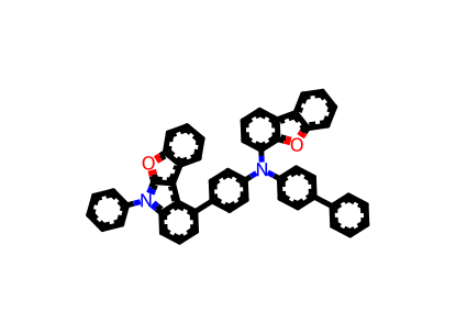 c1ccc(-c2ccc(N(c3ccc(-c4cccc5c4c4c6ccccc6oc4n5-c4ccccc4)cc3)c3cccc4c3oc3ccccc34)cc2)cc1